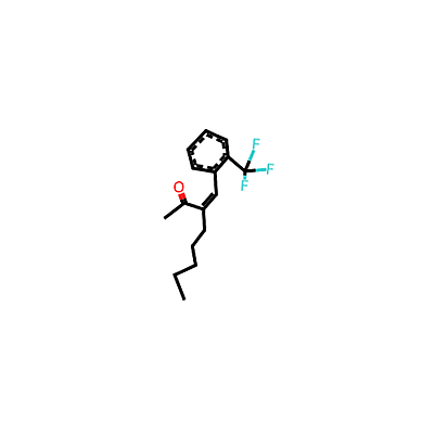 CCCCCC(=Cc1ccccc1C(F)(F)F)C(C)=O